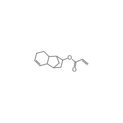 C=CC(=O)OC1CC2CC1C1CCC=CC21